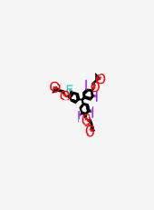 Fc1cc(C(c2cc(I)c(OCC3CO3)c(I)c2)c2cc(I)c(OCC3CO3)c(I)c2)ccc1OCC1CO1